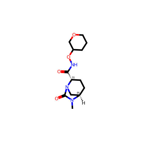 CN1C(=O)N2C[C@H]1CC[C@H]2C(=O)NOC1CCCOC1